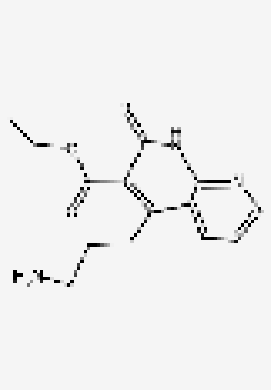 CCOC(=O)c1c(CCCN)c2cccnc2[nH]c1=O